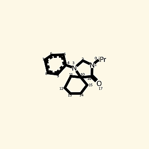 CC(C)N1CN(c2ccccc2)C2(CCCCC2)C1=O